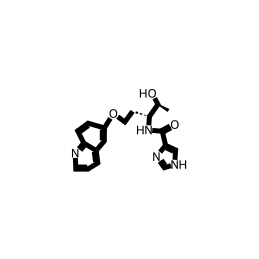 C[C@H](O)[C@@H](CCOc1ccc2ncccc2c1)NC(=O)c1c[nH]cn1